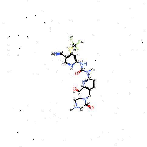 CN1CCN(Cc2ccc(N(C)C(=O)Nc3cc(SC(F)(F)F)c(C#N)cn3)nc2C=O)C(=O)C1